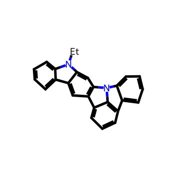 CCn1c2ccccc2c2cc3c4cccc5c6ccccc6n(c3cc21)c54